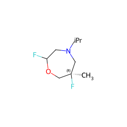 CC(C)N1CC(F)OC[C@](C)(F)C1